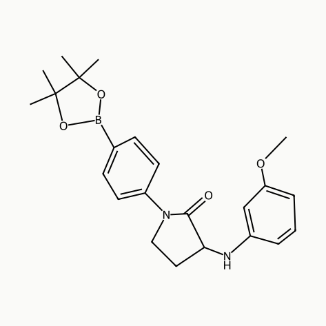 COc1cccc(NC2CCN(c3ccc(B4OC(C)(C)C(C)(C)O4)cc3)C2=O)c1